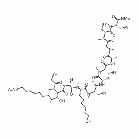 CC[C@H](NC(=O)C([C@H](O)[C@H](C)CCCCCCCNC(C)=O)N(C)C(=O)CC(C)C)C(=O)N(C)[C@H](CSCCCCO)C(=O)N(C)[C@@H](CC(C)C)C(=O)N[C@H](C(=O)N(C)[C@@H](CC(C)C)C(=O)N[C@H](C)C(=O)NCC(=O)N(C)[C@@H](CC(C)C)C(=O)N(C)[C@@H](CC(C)C)C(=O)NC)C(C)C